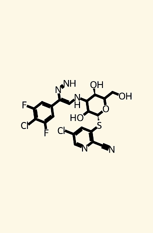 N#Cc1ncc(Cl)cc1S[C@H]1OC(CO)[C@H](O)C(N/C=C(\N=N)c2cc(F)c(Cl)c(F)c2)C1O